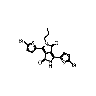 CCCN1C(=O)C2=C(c3ccc(Br)s3)NC(=O)C2=C1c1ccc(Br)s1